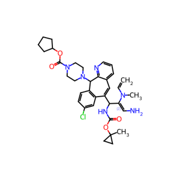 C=CN(C)/C(=C\N)C(NC(=O)OC1(C)CC1)C1=Cc2cccnc2C(N2CCN(C(=O)OC3CCCC3)CC2)c2ccc(Cl)cc21